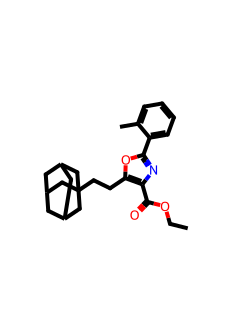 CCOC(=O)c1nc(-c2ccccc2C)oc1CCC12CC3CC(CC(C3)C1)C2